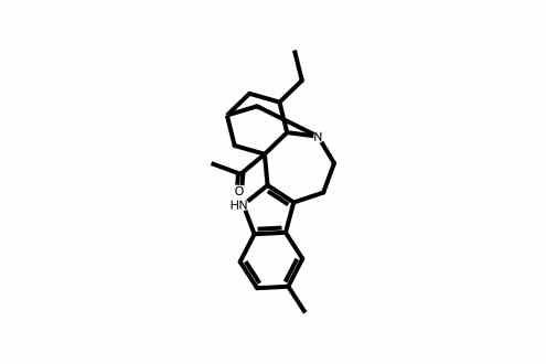 CCC1CC2CN3CCc4c([nH]c5ccc(C)cc45)C(C(C)=O)(C2)C13